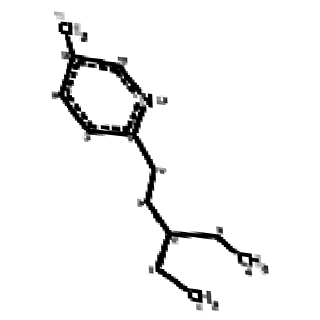 CCC(CC)CCc1ccc(C)cn1